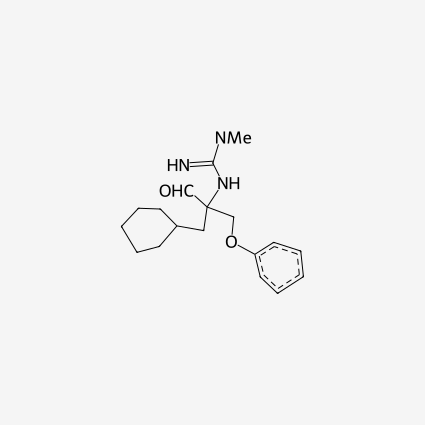 CNC(=N)NC(C=O)(COc1ccccc1)CC1CCCCC1